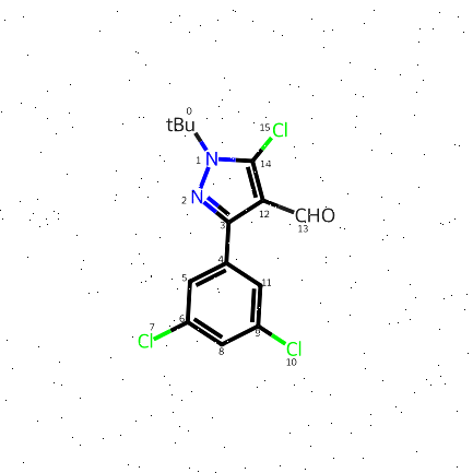 CC(C)(C)n1nc(-c2cc(Cl)cc(Cl)c2)c(C=O)c1Cl